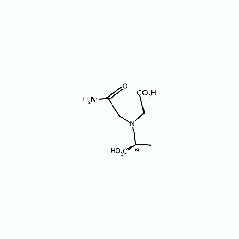 C[C@@H](C(=O)O)N(CC(N)=O)CC(=O)O